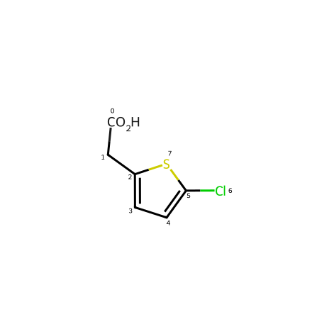 O=C(O)Cc1ccc(Cl)s1